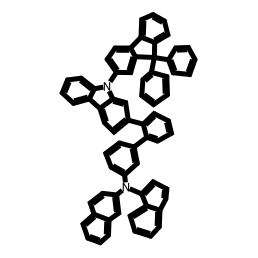 c1ccc(C2(c3ccccc3)c3ccccc3-c3ccc(-n4c5ccccc5c5ccc(-c6ccccc6-c6cccc(N(c7ccc8ccccc8c7)c7cccc8ccccc78)c6)cc54)cc32)cc1